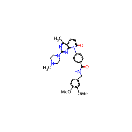 COc1ccc(CNC(=O)c2ccc(-n3c(=O)ccc4c(C)nc(N5CCN(C)CC5)nc43)cc2)cc1OC